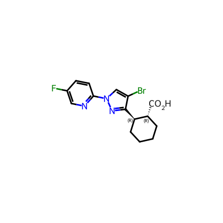 O=C(O)[C@@H]1CCCC[C@H]1c1nn(-c2ccc(F)cn2)cc1Br